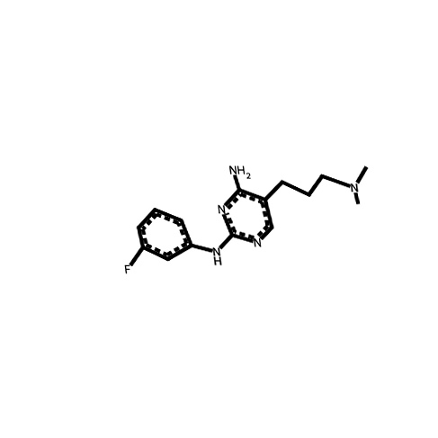 CN(C)CCCc1cnc(Nc2cccc(F)c2)nc1N